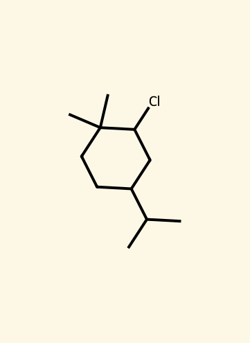 CC(C)C1CCC(C)(C)C(Cl)C1